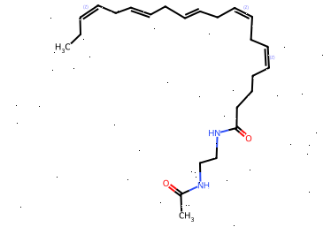 CC/C=C\CC=CCC=CC/C=C\C/C=C\CCCC(=O)NCCNC(C)=O